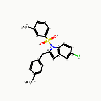 COc1cccc(S(=O)(=O)n2c(Cc3ccc(C(=O)O)cc3)cc3cc(Cl)ccc32)c1